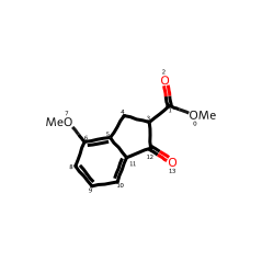 COC(=O)C1Cc2c(OC)cccc2C1=O